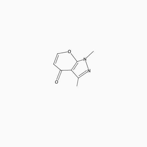 Cc1nn(C)c2occc(=O)c12